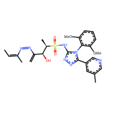 C=C(/N=N\C(C)=C/C)[C@H](O)[C@@H](C)S(=O)(=O)Nc1nnc(-c2cncc(C)c2)n1-c1c(OC)cccc1OC